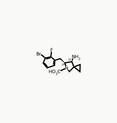 N[C@@H]1[C@H](Cc2cccc(Br)c2F)N(C(=O)O)CC12CC2